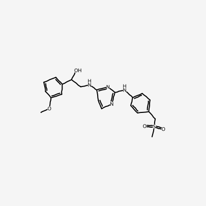 COc1cccc(C(O)CNc2ccnc(Nc3ccc(CS(C)(=O)=O)cc3)n2)c1